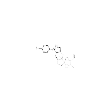 C=C[C@H]1OC2(CCC3=Cc4c(cnn4-c4ccc(F)cc4)C[C@@]32C)O[C@@H]1C